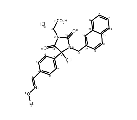 CCO/N=C/c1ccc(C2(C)C(=O)N(CC(=O)O)C(=O)N2Cc2ccc3ccccc3c2)cc1.Cl